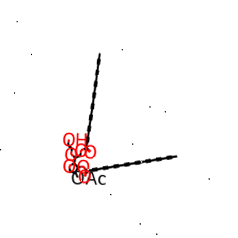 CC#CC#CC#CC#CC#CC#CC#CC#CC(=O)OCC(OCCO)C1OCC(OC(C)=O)C1OC(=O)C#CC#CC#CC#CC#CC#CC#CC#CC